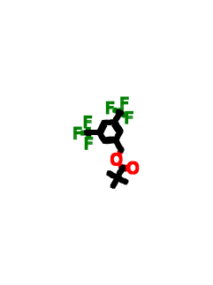 CC(C)(C)C(=O)OCc1cc(C(F)(F)F)cc(C(F)(F)F)c1